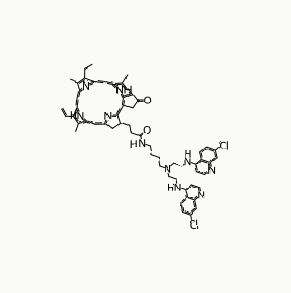 C=Cc1c(C)c2cc3nc(c4c5[nH]c(cc6nc(cc1[nH]2)C(C)=C6CC)c(C)c5C(=O)C4)C(CCC(=O)NCCCCN(CCNc1ccnc2cc(Cl)ccc12)CCNc1ccnc2cc(Cl)ccc12)C3